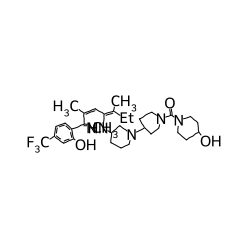 CC/C(C)=C(/C=C(C)\C(=N/C)c1ccc(C(F)(F)F)cc1O)NC1CCCN(C2CCN(C(=O)N3CCC(O)CC3)CC2)C1